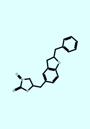 O=C1SC(Cc2ccc3c(c2)CC(Cc2ccccc2)O3)C[N+]1=O